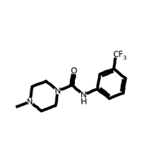 CN1CCN(C(=O)Nc2cccc(C(F)(F)F)c2)CC1